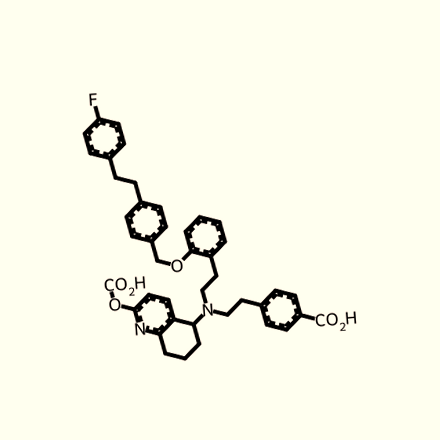 O=C(O)Oc1ccc2c(n1)CCCC2N(CCc1ccc(C(=O)O)cc1)CCc1ccccc1OCc1ccc(CCc2ccc(F)cc2)cc1